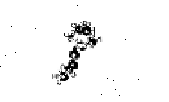 CCCCn1c(=O)c(OCC(=O)NC)cc2cc(Nc3nc(N4CCN(CC5CCN(c6ccc7c(c6)C(=O)N(C6CCC(=O)NC6=O)C7=O)CC5)CC4)ncc3Cl)ccc21